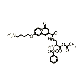 NCCCCOc1ccn2c(=O)cc(C(=O)NCC(NS(=O)(=O)c3ccccc3)C(=O)OC(=O)C(F)(F)F)cc2c1